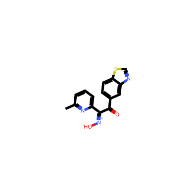 Cc1cccc(/C(=N\O)C(=O)c2ccc3scnc3c2)n1